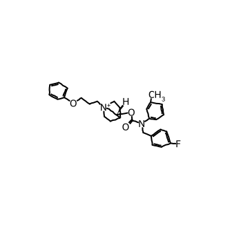 Cc1cccc(N(Cc2ccc(F)cc2)C(=O)O[C@H]2C[N+]3(CCCOc4ccccc4)CCC2CC3)c1